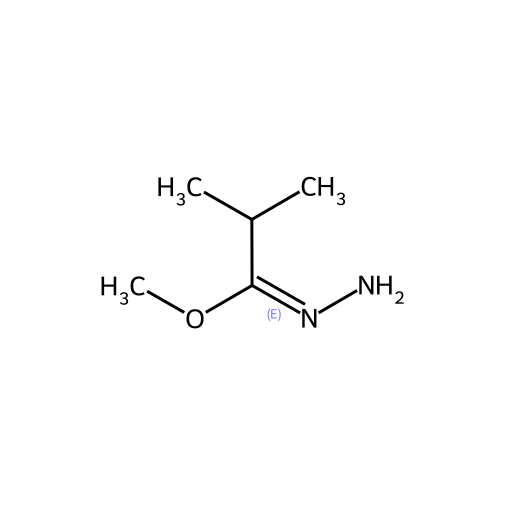 CO/C(=N/N)C(C)C